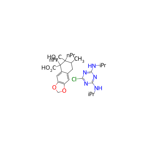 CC(C)Nc1nc(Cl)nc(NC(C)C)n1.CCCC1(C(=O)O)c2cc3c(cc2CC(C)C1(CCC)C(=O)O)OCO3